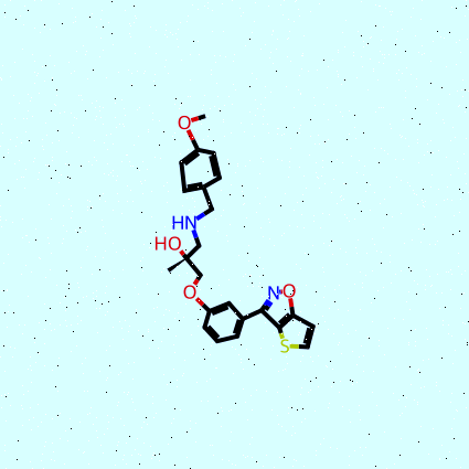 COc1ccc(CNC[C@@](C)(O)COc2cccc(-c3noc4ccsc34)c2)cc1